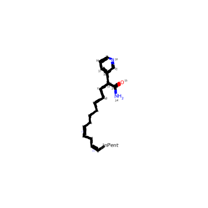 CCCCC/C=C\C/C=C\CCCCCCC(C(N)=O)c1cccnc1